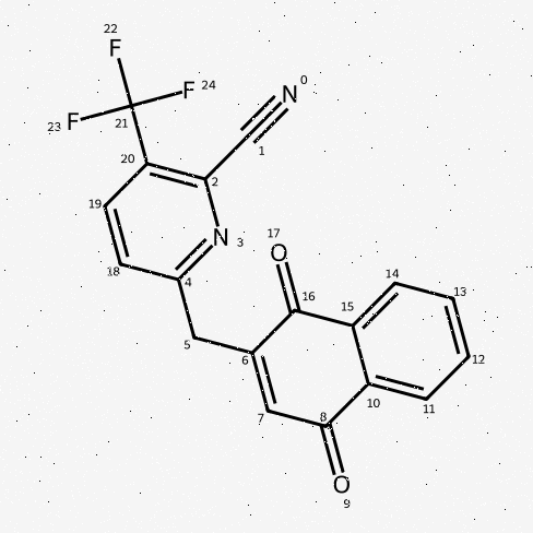 N#Cc1nc(CC2=CC(=O)c3ccccc3C2=O)ccc1C(F)(F)F